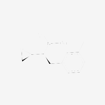 Cc1cccc(C[C@@H]([C@H]2CO2)N(C(=O)O)C(C)(C)C)c1